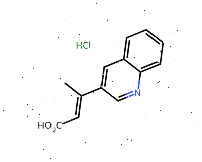 CC(=CC(=O)O)c1cnc2ccccc2c1.Cl